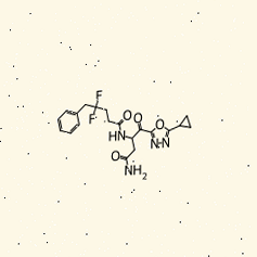 NC(=O)CC(NC(=O)[CH]CC(F)(F)Cc1ccccc1)C(=O)c1nnc(C2CC2)o1